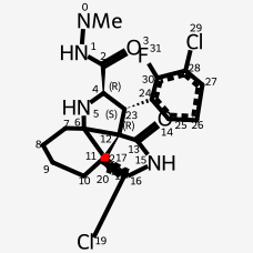 CNNC(=O)[C@@H]1NC2(CCCCC2)[C@@]2(C(=O)Nc3cc(Cl)ccc32)[C@H]1c1cccc(Cl)c1F